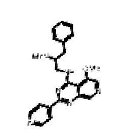 CNC(CNc1nc(-c2ccncc2)nc2cncc(OC)c12)Cc1ccccc1